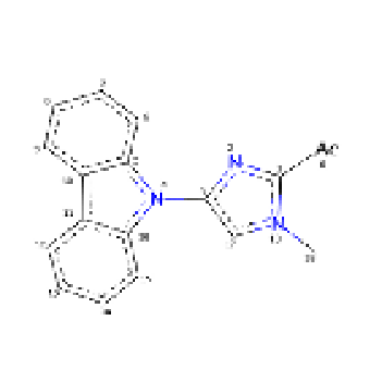 CC(=O)c1nc(-n2c3ccccc3c3ccccc32)cn1C